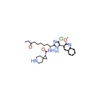 CCC(=O)CCCCCC(NC(=O)[C@H]1CC12CCNCC2)c1nc(Cl)c(-c2cc3ccccc3nc2OC)[nH]1